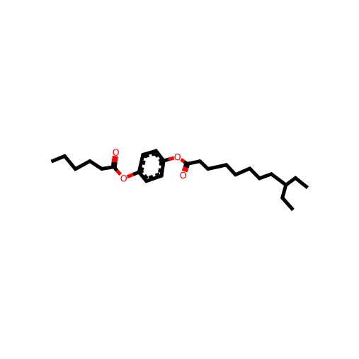 CCCCCC(=O)Oc1ccc(OC(=O)CCCCCCCC(CC)CC)cc1